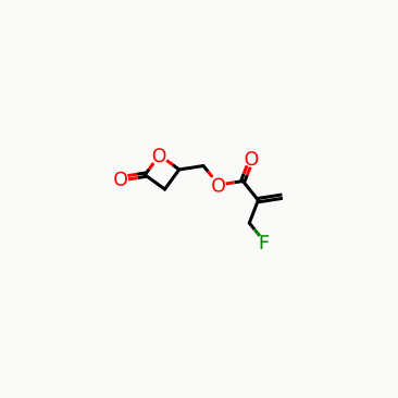 C=C(CF)C(=O)OCC1CC(=O)O1